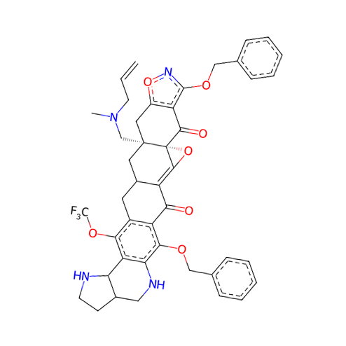 C=CCN(C)C[C@]12Cc3onc(OCc4ccccc4)c3C(=O)[C@]13OC3=C1C(=O)c3c(c(OC(F)(F)F)c4c(c3OCc3ccccc3)NCC3CCNC43)CC1C2